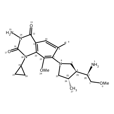 COC[C@H](N)[C@@H]1CN(c2c(F)cc3c(=O)n(N)c(=O)n(C4CC4)c3c2OC)C[C@H]1C